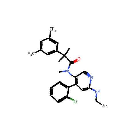 CC(=O)CNc1cc(-c2ccccc2Cl)c(N(C)C(=O)C(C)(C)c2cc(C(F)(F)F)cc(C(F)(F)F)c2)cn1